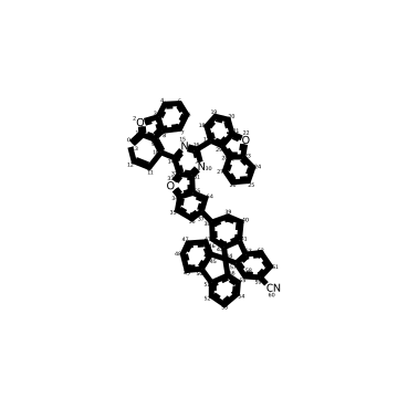 C=c1oc2ccccc2/c1=C(/C=C\C)c1nc(-c2cccc3oc4ccccc4c23)nc2c1oc1ccc(-c3ccc4c(c3)C3(c5ccccc5-c5ccccc53)c3cc(C#N)ccc3-4)cc12